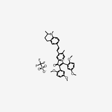 COc1ccc(OC)c(C2=C(c3cc(OC)ccc3OC)[n+]3cc(C)c(C=Cc4ccc5c(c4)CCC(C)N5C)cc3C2=O)c1.O=S(=O)([O-])C(F)(F)F